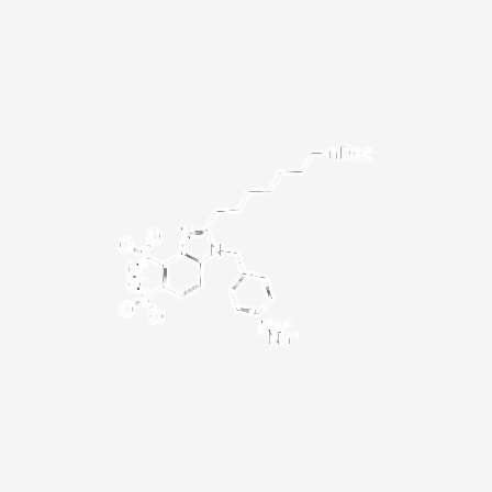 CCCCCCCCCCCCCCCCCc1nc2c(S(=O)(=O)[O-])c(S(=O)(=O)[O-])ccc2n1Cc1ccccc1.[Na+].[Na+]